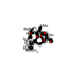 CN[C@H](CC(C)C)C(=O)N[C@H]1C(=O)N[C@@H](CC(=O)NS(=O)(=O)c2ccc(OC)cc2)C(=O)N[C@H]2C(=O)N[C@H]3C(=O)N[C@H](C(=O)N[C@H](C(=O)NC4C5CC6CC(C5)CC4C6)c4cc(O)cc(O)c4-c4cc3ccc4O)[C@H](O)c3ccc(c(Cl)c3)Oc3cc2cc(c3O[C@@H]2O[C@H](CO)[C@@H](O)[C@H](O)[C@H]2O[C@H]2C[C@](C)(N)[C@H](O)[C@H](C)O2)Oc2ccc(cc2C)[C@H]1O